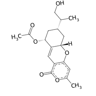 CC(=O)O[C@@H]1C[C@H](C(C)CO)C[C@@H]2Oc3cc(C)oc(=O)c3C=C21